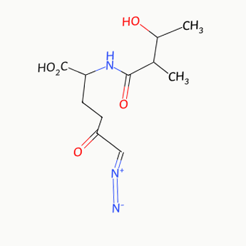 CC(O)C(C)C(=O)NC(CCC(=O)C=[N+]=[N-])C(=O)O